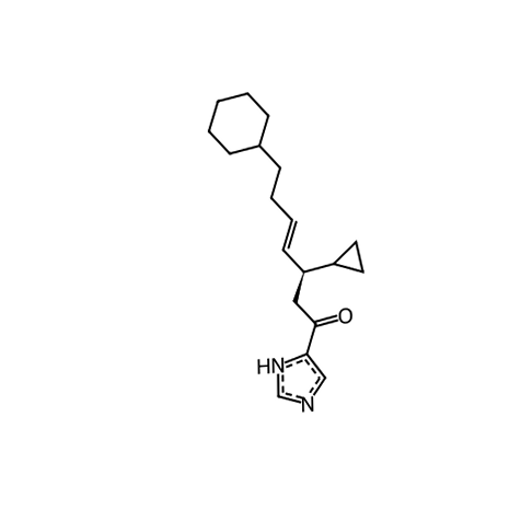 O=C(C[C@@H](/C=C/CCC1CCCCC1)C1CC1)c1cnc[nH]1